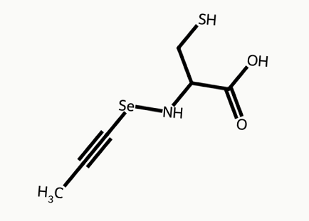 CC#C[Se]NC(CS)C(=O)O